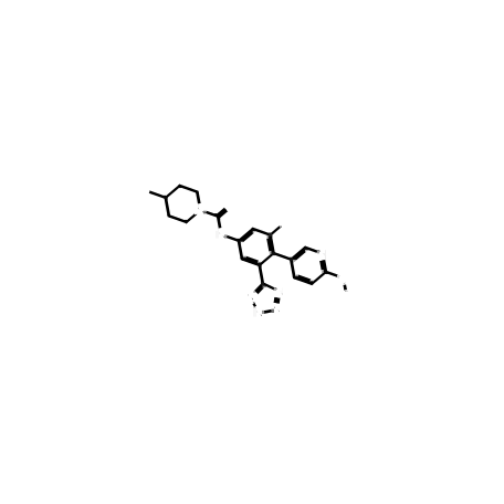 CCOc1ccc(-c2c(F)cc(NC(=O)N3CCC(C)CC3)cc2-c2nn[nH]n2)cn1